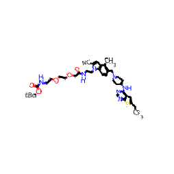 Cc1c(CN2CCC(Nc3ncnc4sc(CC(F)(F)F)cc34)CC2)ccc2c1cc(C#N)n2CCNC(=O)COCCOCCNC(=O)OC(C)(C)C